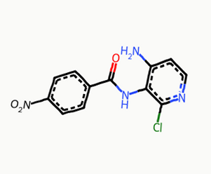 Nc1ccnc(Cl)c1NC(=O)c1ccc([N+](=O)[O-])cc1